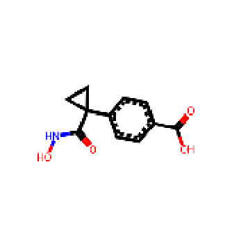 O=C(O)c1ccc(C2(C(=O)NO)CC2)cc1